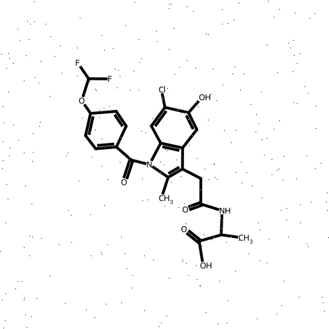 Cc1c(CC(=O)NC(C)C(=O)O)c2cc(O)c(Cl)cc2n1C(=O)c1ccc(OC(F)F)cc1